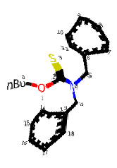 CCCCOC(=S)N(Cc1ccccc1)Cc1ccccc1